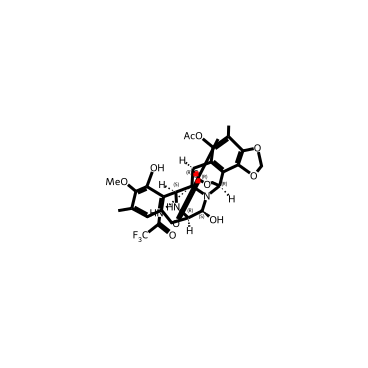 COc1c(C)cc2c(c1O)[C@@H]1N[C@H](C2)[C@H](O)N2C1[C@@H]1SC[C@H](NC(=O)C(F)(F)F)C(=O)OC[C@H]2c2c3c(c(C)c(OC(C)=O)c21)OCO3